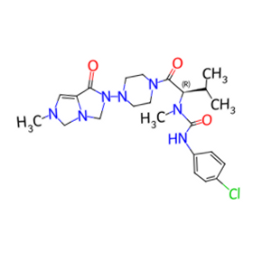 CC(C)[C@H](C(=O)N1CCN(N2CN3CN(C)C=C3C2=O)CC1)N(C)C(=O)Nc1ccc(Cl)cc1